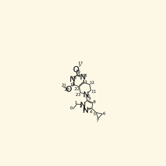 CCn1nc(C2CC2)cc1N1CCc2nc(OC)nc(OC)c2C1